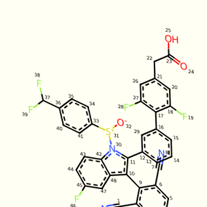 N#Cc1cccc(C#N)c1-c1c(-c2cccc(-c3c(F)cc(CC(=O)O)cc3F)c2)n([S+]([O-])c2ccc(C(F)F)cc2)c2ccc(F)cc12